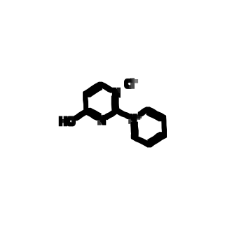 Oc1ccnc(-[n+]2ccccc2)n1.[Cl-]